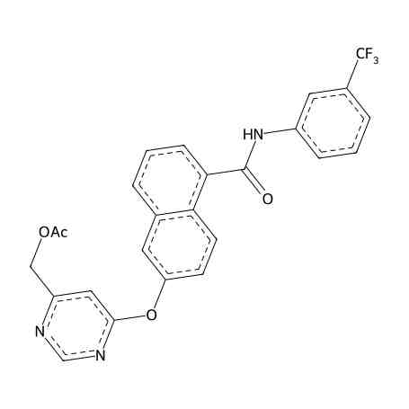 CC(=O)OCc1cc(Oc2ccc3c(C(=O)Nc4cccc(C(F)(F)F)c4)cccc3c2)ncn1